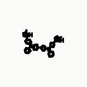 Cc1ccc(-c2ccc(N(c3ccccc3)c3ccc(-c4ccc(N(c5ccccc5)c5ccc(-c6ccc(C)[nH]6)cc5)cc4)cc3)cc2)[nH]1